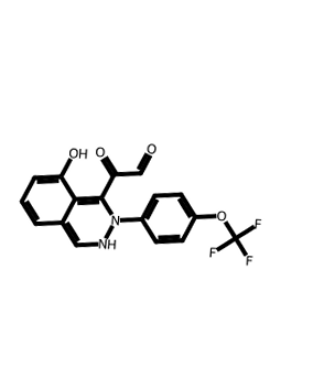 O=CC(=O)C1=c2c(O)cccc2=CNN1c1ccc(OC(F)(F)F)cc1